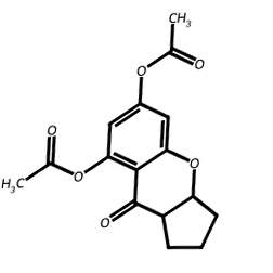 CC(=O)Oc1cc(OC(C)=O)c2c(c1)OC1CCCC1C2=O